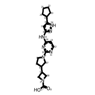 O=C(O)N1CC(C2CCN(c3nccc(Nc4cc(C5CCCC5)[nH]n4)n3)C2)C1